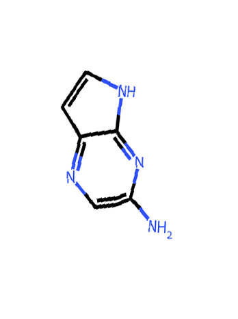 Nc1cnc2cc[nH]c2n1